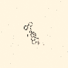 NC(=O)c1cccc(C[C@H](NC(=O)OCC2c3ccccc3-c3ccccc32)C(=O)O)c1